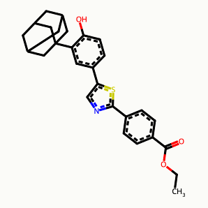 CCOC(=O)c1ccc(-c2ncc(-c3ccc(O)c(C45CC6CC(CC(C6)C4)C5)c3)s2)cc1